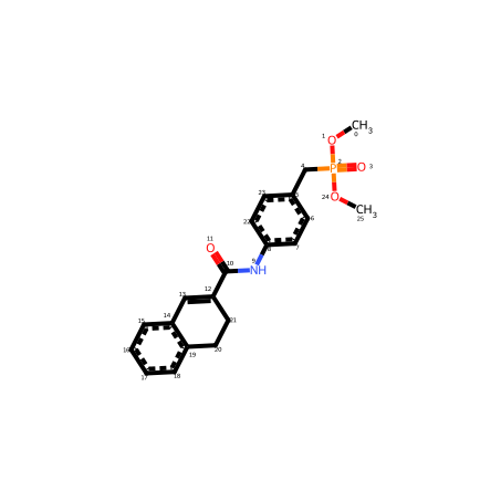 COP(=O)(Cc1ccc(NC(=O)C2=Cc3ccccc3CC2)cc1)OC